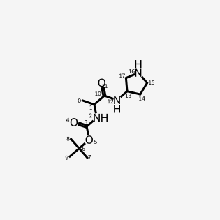 CC(NC(=O)OC(C)(C)C)C(=O)NC1CCNC1